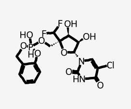 O=c1[nH]c(=O)n([C@@H]2O[C@@](CO[PH]3(O)OCc4ccccc4O3)(C(F)F)[C@@H](O)[C@H]2O)cc1Cl